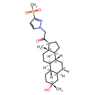 C[C@@]1(O)CC[C@@H]2[C@H]3CC[C@]4(C)[C@@H](C(=O)Cn5ccc(S(C)(=O)=O)n5)CC[C@H]4[C@@H]3C[C@@H](F)[C@H]2C1